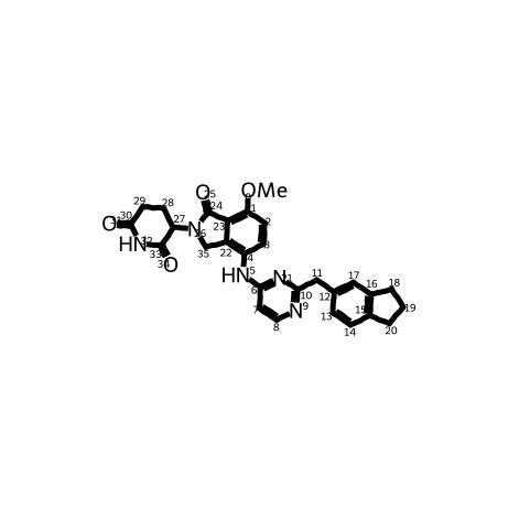 COc1ccc(Nc2ccnc(Cc3ccc4c(c3)CCC4)n2)c2c1C(=O)N(C1CCC(=O)NC1=O)C2